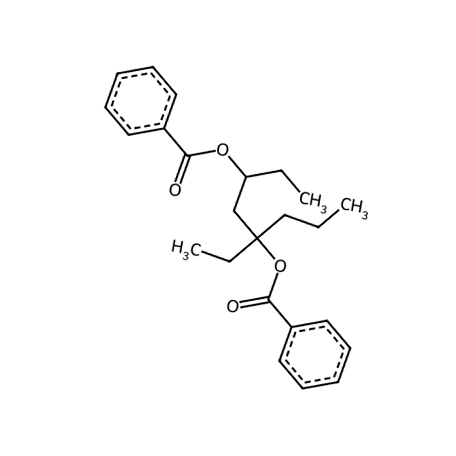 CCCC(CC)(CC(CC)OC(=O)c1ccccc1)OC(=O)c1ccccc1